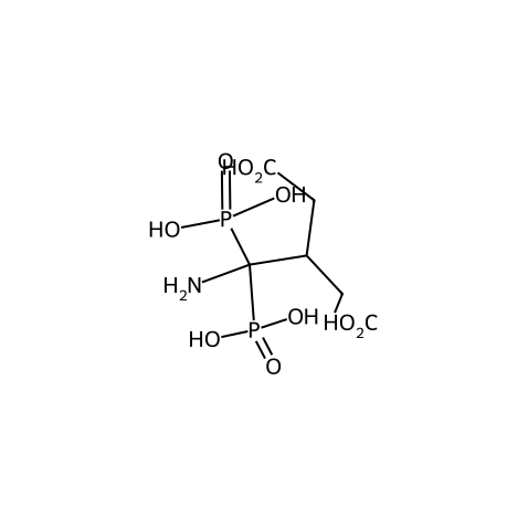 NC(C(CC(=O)O)CC(=O)O)(P(=O)(O)O)P(=O)(O)O